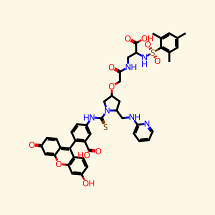 Cc1cc(C)c(S(=O)(=O)NC(CNC(=O)COC2CC(CNc3ccccn3)N(C(=S)Nc3ccc(-c4c5ccc(=O)cc-5oc5cc(O)ccc45)c(C(=O)O)c3)C2)C(=O)O)c(C)c1